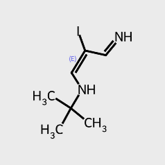 CC(C)(C)N/C=C(/I)C=N